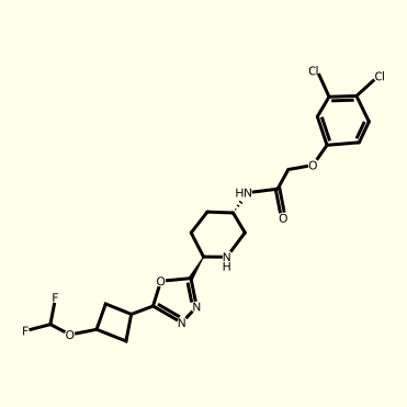 O=C(COc1ccc(Cl)c(Cl)c1)N[C@H]1CC[C@H](c2nnc(C3CC(OC(F)F)C3)o2)NC1